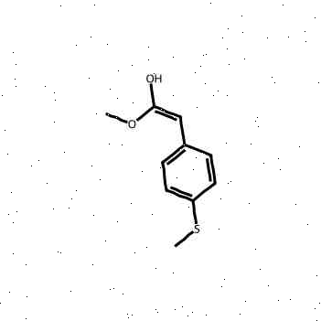 CO/C(O)=C\c1ccc(SC)cc1